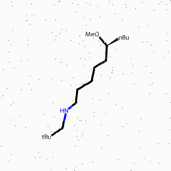 CCCC[C@@H](CCCCCNCC(C)(C)C)OC